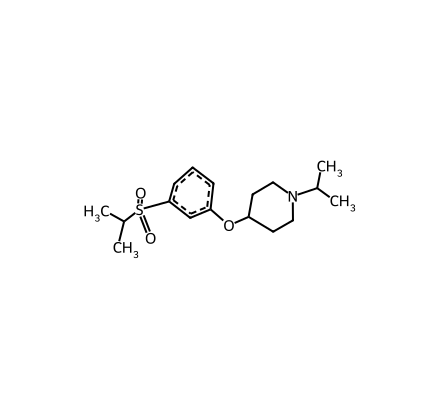 CC(C)N1CCC(Oc2cccc(S(=O)(=O)C(C)C)c2)CC1